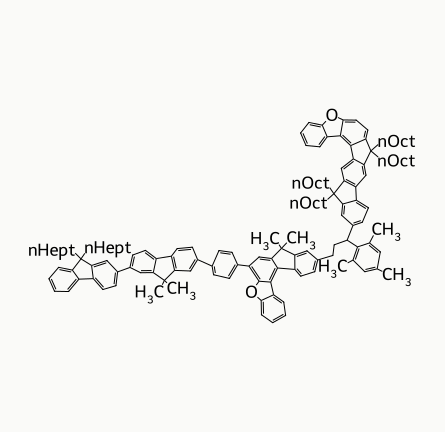 CCCCCCCCC1(CCCCCCCC)c2cc(C(CCc3ccc4c(c3)C(C)(C)c3cc(-c5ccc(-c6ccc7c(c6)C(C)(C)c6cc(-c8ccc9c(c8)C(CCCCCCC)(CCCCCCC)c8ccccc8-9)ccc6-7)cc5)c5oc6ccccc6c5c3-4)c3c(C)cc(C)cc3C)ccc2-c2cc3c(cc21)-c1c(ccc2oc4ccccc4c12)C3(CCCCCCCC)CCCCCCCC